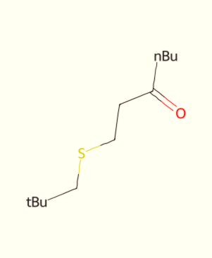 CCCCC(=O)CCSCC(C)(C)C